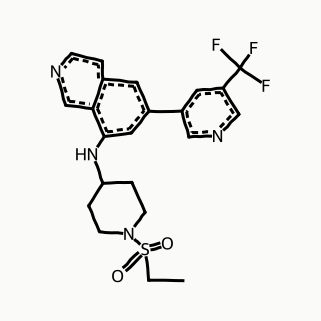 CCS(=O)(=O)N1CCC(Nc2cc(-c3cncc(C(F)(F)F)c3)cc3ccncc23)CC1